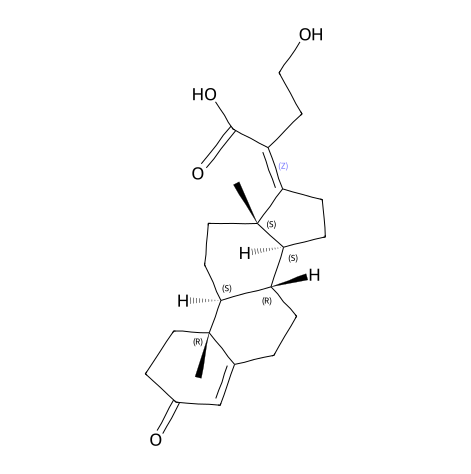 C[C@]12CCC(=O)C=C1CC[C@@H]1[C@@H]2CC[C@]2(C)/C(=C(/CCO)C(=O)O)CC[C@@H]12